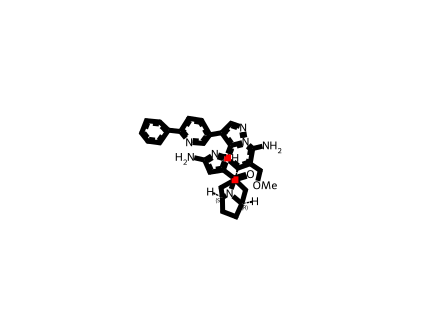 COCc1c([C@@H]2C[C@H]3CC[C@@H](C2)N3C(=O)c2cc(N)n[nH]2)nc2c(-c3ccc(-c4ccccc4)nc3)cnn2c1N